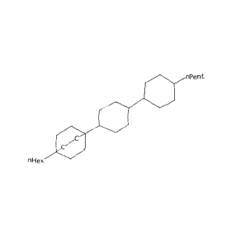 CCCCCCC12CCC(C3CCC(C4CCC(CCCCC)CC4)CC3)(CC1)CC2